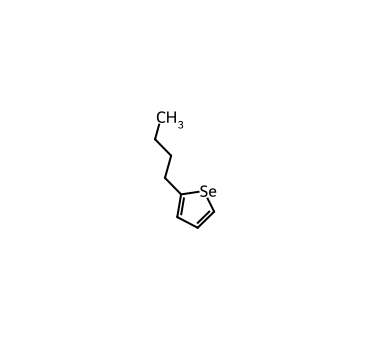 CCCCc1ccc[se]1